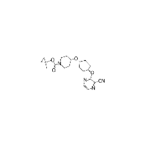 CC1(OC(=O)N2CCC(O[C@H]3CC[C@H](Oc4nccnc4C#N)CC3)CC2)CC1